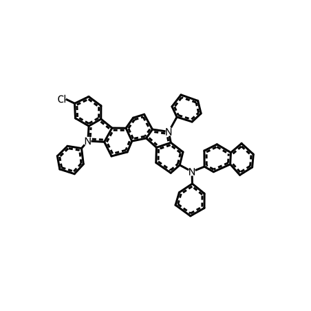 Clc1ccc2c3c4ccc5c(c4ccc3n(-c3ccccc3)c2c1)c1ccc(N(c2ccccc2)c2ccc3ccccc3c2)cc1n5-c1ccccc1